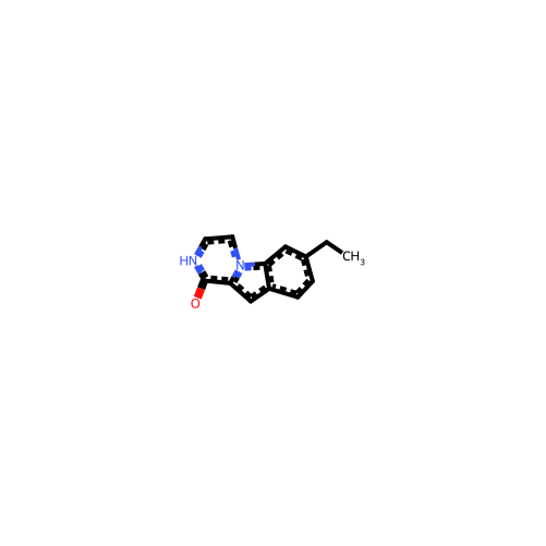 CCc1ccc2cc3c(=O)[nH]ccn3c2c1